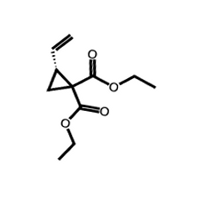 C=C[C@H]1CC1(C(=O)OCC)C(=O)OCC